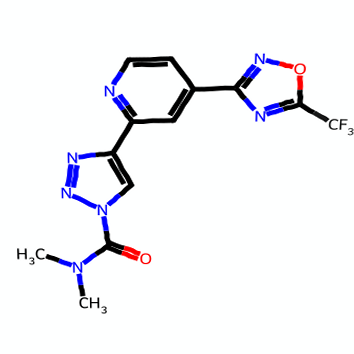 CN(C)C(=O)n1cc(-c2cc(-c3noc(C(F)(F)F)n3)ccn2)nn1